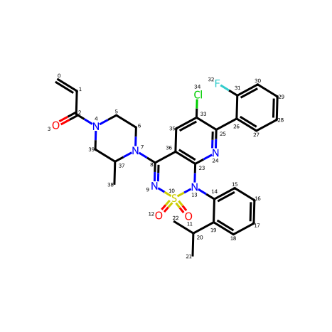 C=CC(=O)N1CCN(C2=NS(=O)(=O)N(c3ccccc3C(C)C)c3nc(-c4ccccc4F)c(Cl)cc32)C(C)C1